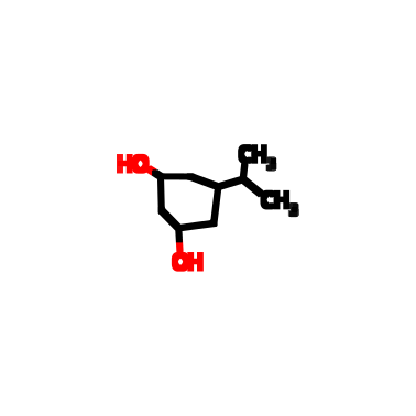 CC(C)C1CC(O)CC(O)C1